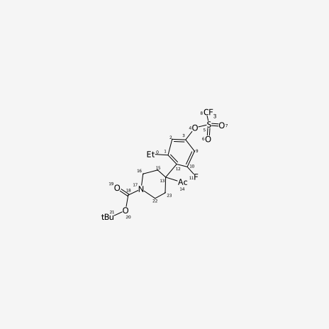 CCc1cc(OS(=O)(=O)C(F)(F)F)cc(F)c1C1(C(C)=O)CCN(C(=O)OC(C)(C)C)CC1